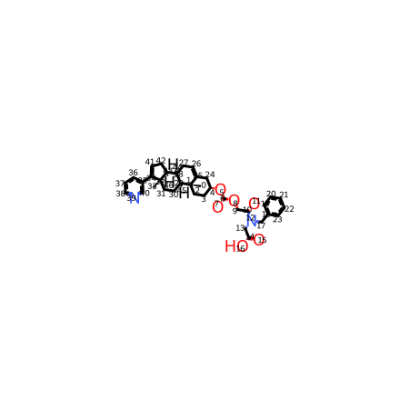 C[C@]12CC[C@H](OC(=O)OCC(=O)N(CC(=O)O)Cc3ccccc3)CC1=CC[C@@H]1[C@@H]2CC[C@]2(C)C(c3cccnc3)=CC[C@@H]12